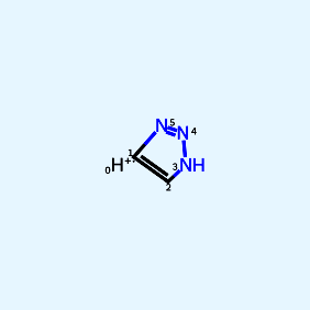 [H+].[c]1c[nH]nn1